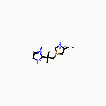 C[N+]1=CCNC1C(C)(C)C[SH]1CNC(C(C)(C)C)C1